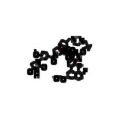 CCc1c(F)ccc2cc(OCOC)cc(-c3ccc4c(N5CC6CCC(C5)N6C(=O)OC(C)(C)C)nc(OCC5(CN6CCN(CC7CCC8(CC7)CCN(C(=O)c7ccc(OC)c(N9CCC(=O)NC9=O)c7)CC8)CC6)CC5)nc4c3F)c12